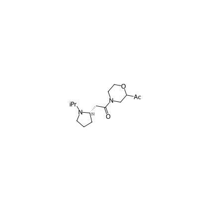 CC(=O)C1CN(C(=O)C[C@@H]2CCCN2C(C)C)CCO1